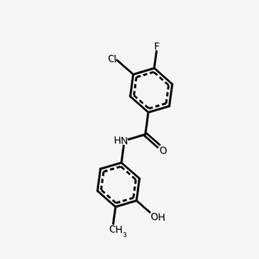 Cc1ccc(NC(=O)c2ccc(F)c(Cl)c2)cc1O